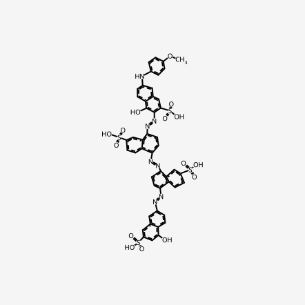 COc1ccc(Nc2ccc3c(O)c(N=Nc4ccc(N=Nc5ccc(N=Nc6ccc7c(O)cc(S(=O)(=O)O)cc7c6)c6ccc(S(=O)(=O)O)cc56)c5ccc(S(=O)(=O)O)cc45)c(S(=O)(=O)O)cc3c2)cc1